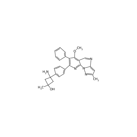 COc1c(-c2ccccc2)c(-c2ccc(C3(N)CC(C)(O)C3)cc2)nc2c1cnc1cc(C)nn12